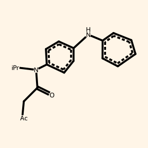 CC(=O)CC(=O)N(c1ccc(Nc2ccccc2)cc1)C(C)C